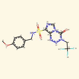 COc1ccc(CNS(=O)(=O)c2ncn3c(=O)n(CC(F)(F)F)nnc23)cc1